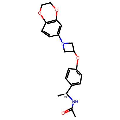 CC(=O)N[C@@H](C)c1ccc(OC2CN(c3ccc4c(c3)OCCO4)C2)cc1